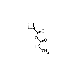 CNC(=O)OC(=O)N1CCC1